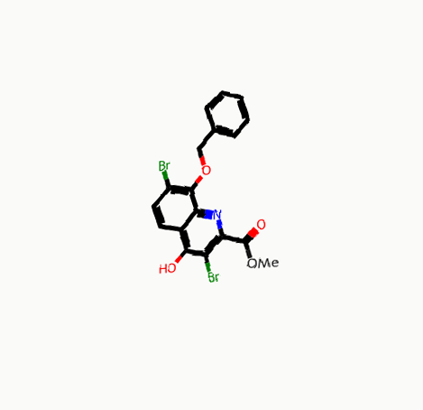 COC(=O)c1nc2c(OCc3ccccc3)c(Br)ccc2c(O)c1Br